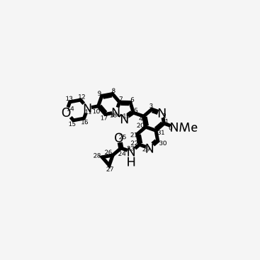 CNc1ncc(-c2cc3ccc(N4CCOCC4)cn3n2)c2cc(NC(=O)C3CC3)ncc12